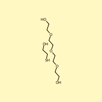 OCCOCCOCCOCCO.OCCS